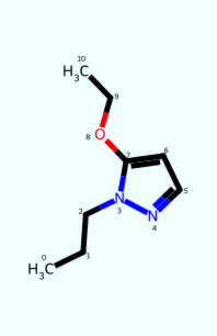 CCCn1n[c]cc1OCC